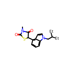 CCC(CC)Cn1ccc2c(C3SC(=O)N(C)C3=O)cccc21